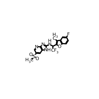 Cc1c(C(Nc2nc3ncc(S(C)(=O)=O)cc3[nH]2)C(F)(F)F)oc2ccc(F)cc12